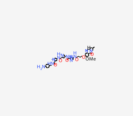 C=C1C[C@H]2C=Nc3cc(OCCCC(=O)Nc4cn(C)c(C(=O)Nc5cc(C(=O)Nc6cc(C(=O)NCc7ccc(N)cc7)n(C)c6)n(C)c5)n4)c(OC)cc3C(=O)N2C1